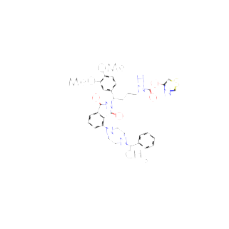 COc1ccc([C@@H](CCCNC(=O)Oc2cscn2)N2C(=O)c3cccc(N4CCN([C@H](C)c5ccccc5)CC4)c3C2=O)cc1OC